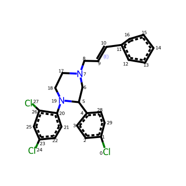 Clc1ccc(C2CN(C/C=C/c3ccccc3)CCN2c2ccc(Cl)cc2Cl)cc1